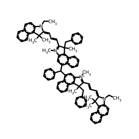 CCN1/C(=C/C=C/C2=[N+](C)c3cc(C(c4ccccc4)c4cc5c(c6ccccc46)C(C)(Cc4ccccc4)C(/C=C/C=C4/N(CC)c6ccc7ccccc7c6C4(C)C)=[N+]5C)c4ccccc4c3C2(C)Cc2ccccc2)C(C)(C)c2c1ccc1ccccc21